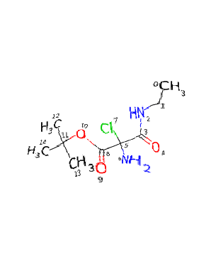 CCNC(=O)C(N)(Cl)C(=O)OC(C)(C)C